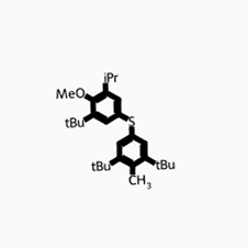 COc1c(C(C)C)cc(Sc2cc(C(C)(C)C)c(C)c(C(C)(C)C)c2)cc1C(C)(C)C